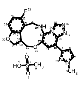 CS(=O)(=O)O.Cn1ccc(-c2cc3c(n4cnnc24)NCc2c(F)ccc4c2[C@@H](CO4)CO3)n1